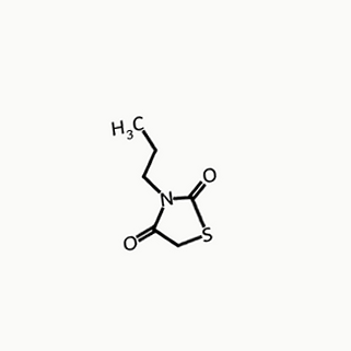 CCCN1C(=O)CSC1=O